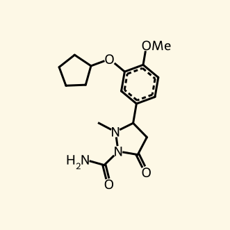 COc1ccc(C2CC(=O)N(C(N)=O)N2C)cc1OC1CCCC1